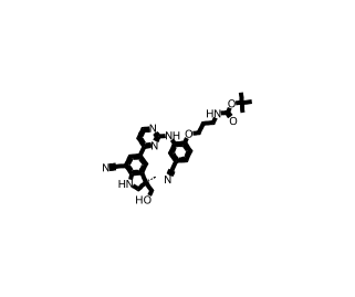 CC(C)(C)OC(=O)NCCCOc1ccc(C#N)cc1Nc1nccc(-c2cc(C#N)c3c(c2)[C@@](C)(CO)CN3)n1